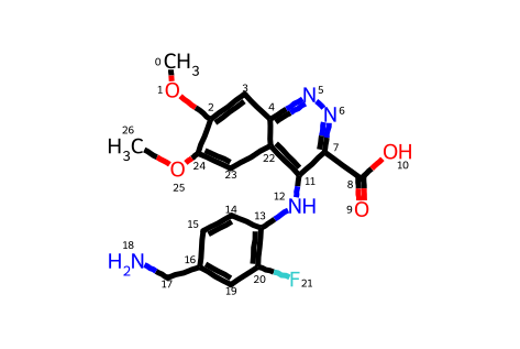 COc1cc2nnc(C(=O)O)c(Nc3ccc(CN)cc3F)c2cc1OC